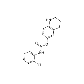 O=C(Nc1ccccc1Cl)Oc1ccc2c(c1)CCCN2